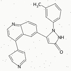 Cc1cccc(-n2[nH]c(=O)cc2-c2ccc3nccc(-c4ccncc4)c3c2)c1